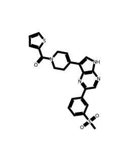 CS(=O)(=O)c1cccc(-c2cnc3[nH]cc(C4=CCN(C(=O)c5cccs5)CC4)c3n2)c1